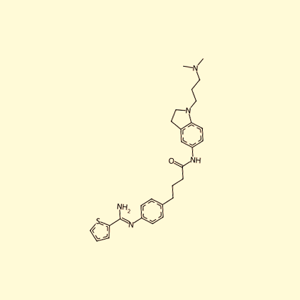 CN(C)CCCN1CCc2cc(NC(=O)CCCc3ccc(N=C(N)c4cccs4)cc3)ccc21